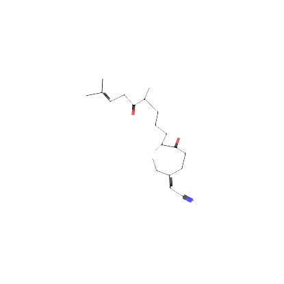 CC(C)=CCC(=O)C(C)CCC[C@]1(C)OC/C(=C/C#N)CCC1=O